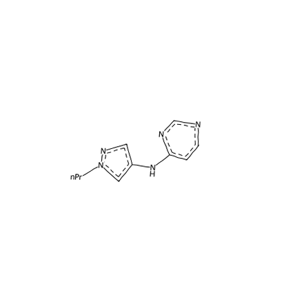 CCCn1cc(Nc2ccncn2)cn1